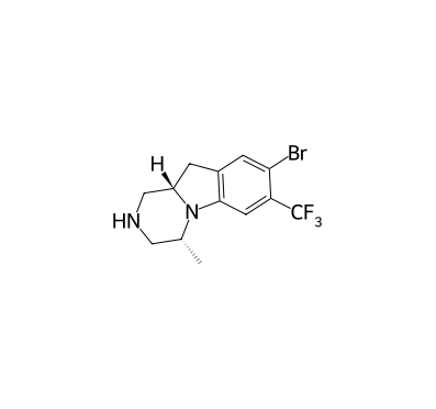 C[C@@H]1CNC[C@@H]2Cc3cc(Br)c(C(F)(F)F)cc3N21